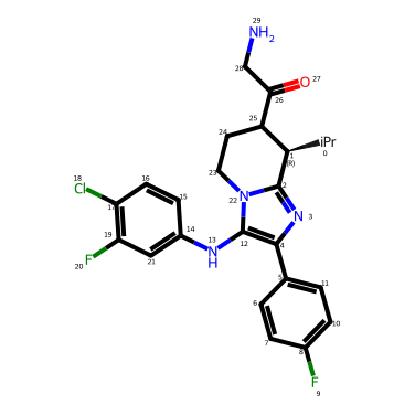 CC(C)[C@H]1c2nc(-c3ccc(F)cc3)c(Nc3ccc(Cl)c(F)c3)n2CCC1C(=O)CN